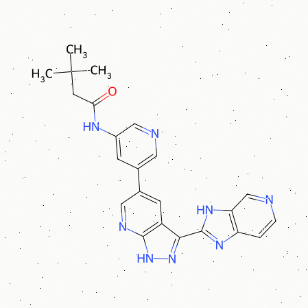 CC(C)(C)CC(=O)Nc1cncc(-c2cnc3[nH]nc(-c4nc5ccncc5[nH]4)c3c2)c1